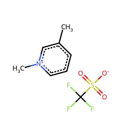 Cc1ccc[n+](C)c1.O=S(=O)([O-])C(F)(F)F